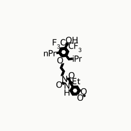 CCCc1cc(C(O)(C(F)(F)F)C(F)(F)F)cc(CC(C)C)c1OCCCCN1C(=O)NC(CC)(c2ccc3c(c2)OCO3)C1=O